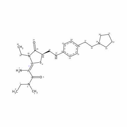 CCN(C)C(=O)/C(N)=C1\S[C@H](CNc2ccc(CCN3CCCC3)cc2)C(=O)N1CC